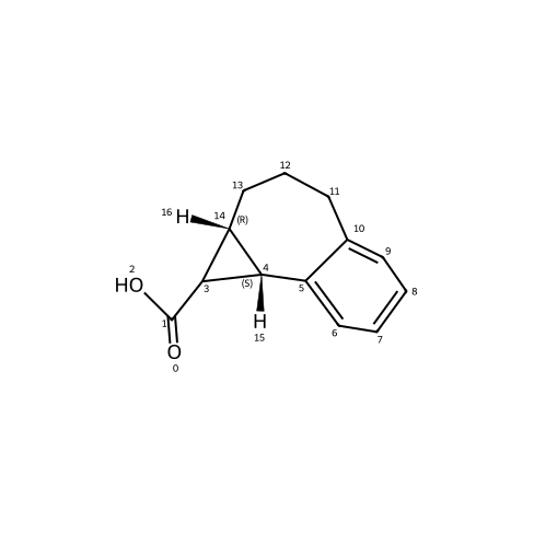 O=C(O)C1[C@H]2c3ccccc3CCC[C@@H]12